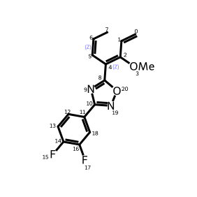 C=C/C(OC)=C(\C=C/C)c1nc(-c2ccc(F)c(F)c2)no1